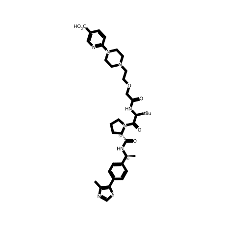 Cc1ncsc1-c1ccc([C@H](C)NC(=O)[C@@H]2CCCN2C(=O)C(NC(=O)COCCN2CCN(c3ccc(C(=O)O)cn3)CC2)C(C)(C)C)cc1